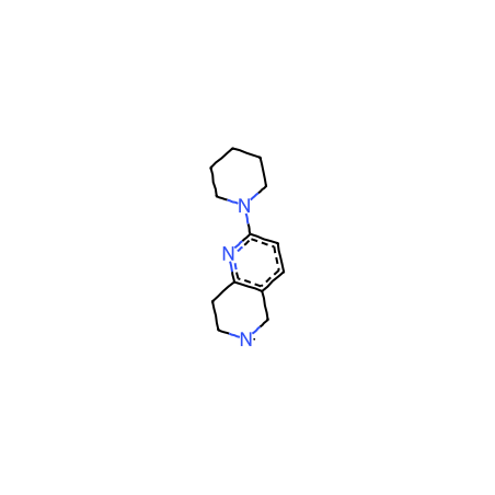 c1cc2c(nc1N1CCCCC1)CC[N]C2